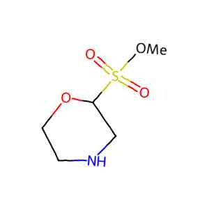 COS(=O)(=O)C1CNCCO1